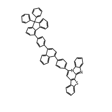 c1ccc(C2(c3ccccc3)c3ccccc3-c3c(-c4ccc(-c5ccc(-c6ccc(-c7cc8c9ccccc9sc8c8nc9ccccc9n78)cc6)c6ccccc56)cc4)cccc32)cc1